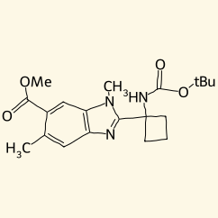 COC(=O)c1cc2c(cc1C)nc(C1(NC(=O)OC(C)(C)C)CCC1)n2C